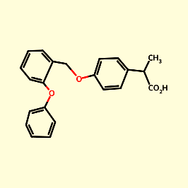 CC(C(=O)O)c1ccc(OCc2ccccc2Oc2ccccc2)cc1